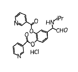 CC(C)NC(C=O)c1ccc(OC(=O)c2cccnc2)c(OC(=O)c2cccnc2)c1.Cl